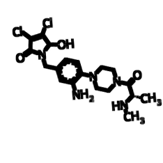 CN[C@@H](C)C(=O)N1CCN(c2ccc(CN3C(=O)C(Cl)=C(Cl)C3O)cc2N)CC1